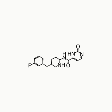 O=C(NC1CCC(Cc2cccc(F)c2)CN1)c1ccnc(=O)[nH]1